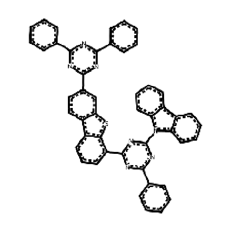 c1ccc(-c2nc(-c3ccccc3)nc(-c3ccc4c(c3)sc3c(-c5nc(-c6ccccc6)nc(-n6c7ccccc7c7ccccc76)n5)cccc34)n2)cc1